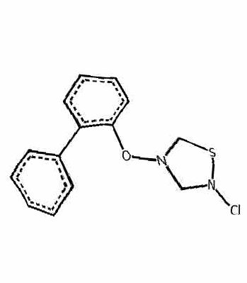 ClN1CN(Oc2ccccc2-c2ccccc2)CS1